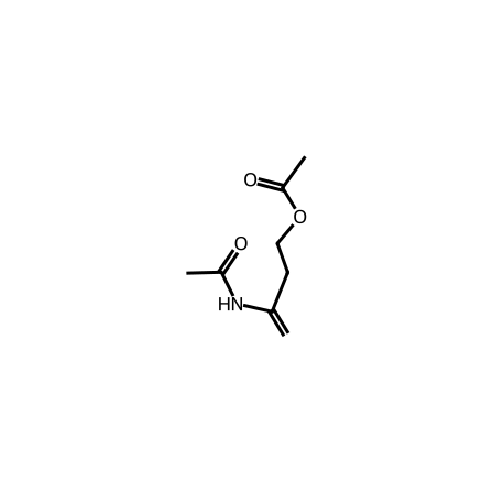 C=C(CCOC(C)=O)NC(C)=O